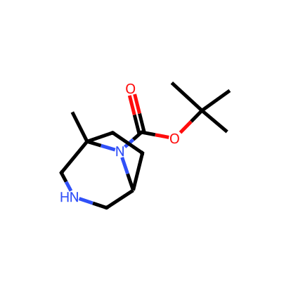 CC(C)(C)OC(=O)N1C2CCC1(C)CNC2